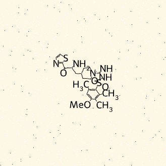 COc1cc(C)c(S(=O)(=O)NC(=N)N2CCC(CC(N)C(=O)c3nccs3)CC2)c(C)c1C